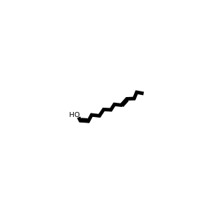 CCCC=CCCCCC/C=C\O